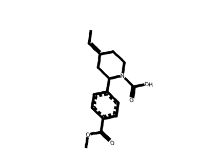 CC=C1CCN(C(=O)O)C(c2ccc(C(=O)OC)cc2)C1